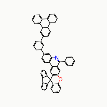 C1=CC(C2=CC3c4ccccc4-c4ccccc4C3C=C2)=CC(c2ccc3c(c2)nc(-c2ccccc2)c2cc4c(cc23)C2(c3ccccc3O4)c3ccccc3-c3ccccc32)C1